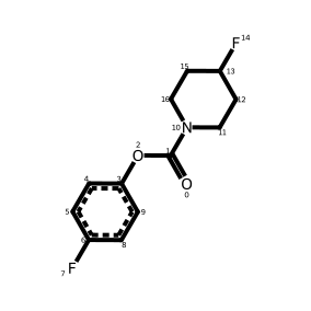 O=C(Oc1ccc(F)cc1)N1CCC(F)CC1